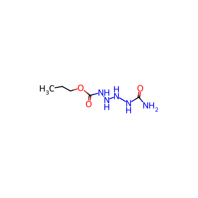 CCCOC(=O)NNNNC(N)=O